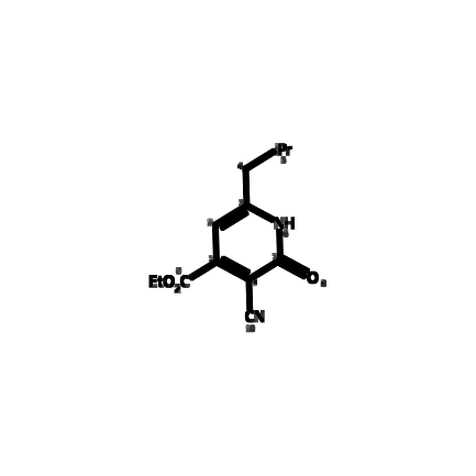 CCOC(=O)c1cc(CC(C)C)[nH]c(=O)c1C#N